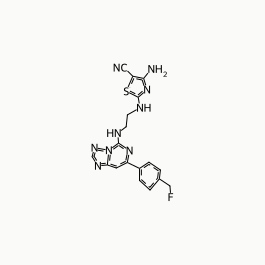 N#Cc1sc(NCCNc2nc(-c3ccc(CF)cc3)cc3ncnn23)nc1N